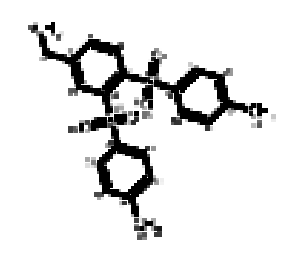 CCc1ccc(S(=O)(=O)c2ccc(C)cc2)c(S(=O)(=O)c2ccc(C)cc2)c1